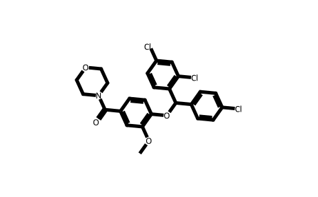 COc1cc(C(=O)N2CCOCC2)ccc1OC(c1ccc(Cl)cc1)c1ccc(Cl)cc1Cl